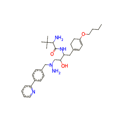 CCCCOC1=CC=C(CC(NC(=O)C(N)C(C)(C)C)C(O)CN(N)Cc2ccc(-c3ccccn3)cc2)CC1